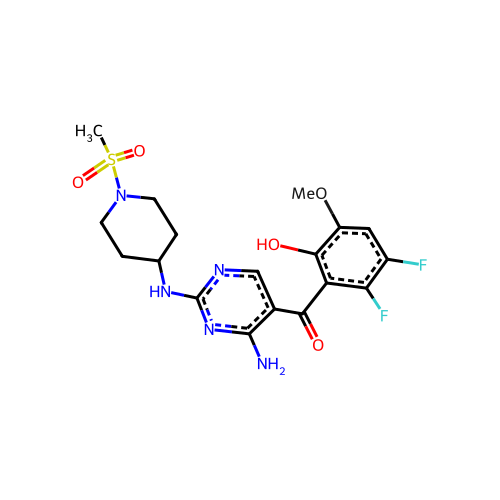 COc1cc(F)c(F)c(C(=O)c2cnc(NC3CCN(S(C)(=O)=O)CC3)nc2N)c1O